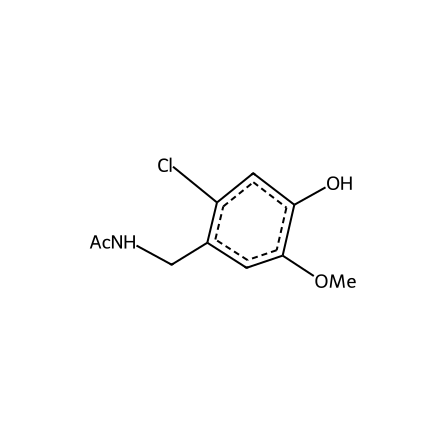 COc1cc(CNC(C)=O)c(Cl)cc1O